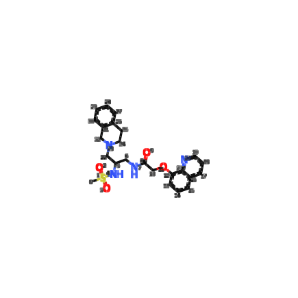 CS(=O)(=O)NC(CNC(=O)COc1cccc2cccnc12)CN1CCc2ccccc2C1